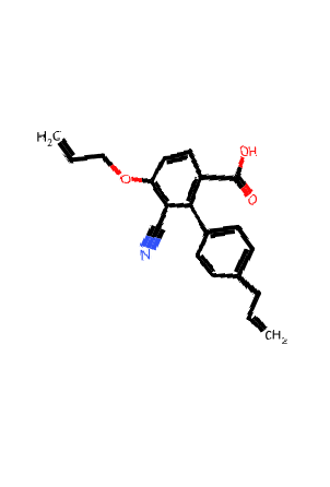 C=CCOc1ccc(C(=O)O)c(-c2ccc(CC=C)cc2)c1C#N